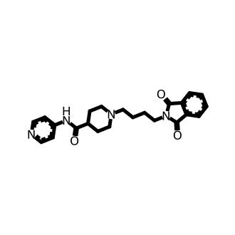 O=C(Nc1ccncc1)C1CCN(CCCCN2C(=O)c3ccccc3C2=O)CC1